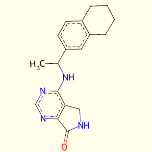 CC(Nc1ncnc2c1CNC2=O)c1ccc2c(c1)CCCC2